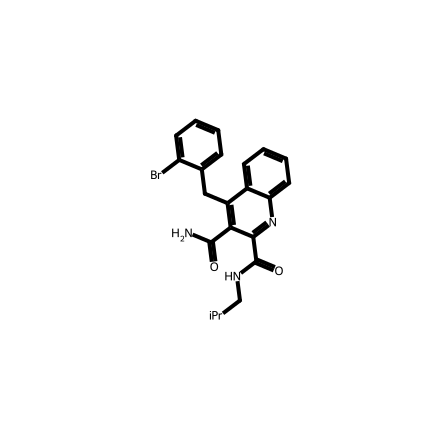 CC(C)CNC(=O)c1nc2ccccc2c(Cc2ccccc2Br)c1C(N)=O